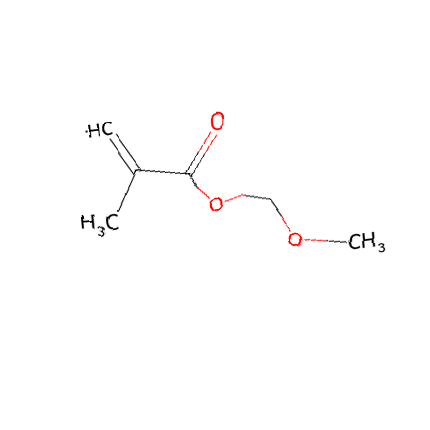 [CH]=C(C)C(=O)OCOC